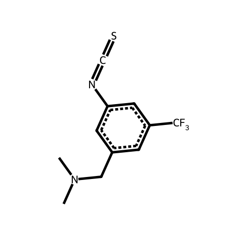 CN(C)Cc1cc(N=C=S)cc(C(F)(F)F)c1